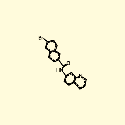 O=C(Nc1ccc2cccnc2c1)c1ccc2cc(Br)ccc2c1